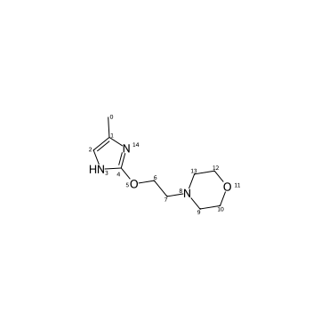 Cc1c[nH]c(OCCN2CCOCC2)n1